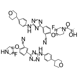 C[C@H](O)C(=O)N1CC[C@H](Oc2ccc(-c3ncnc(Nc4ccc(C5CCOCC5)cc4)n3)cc2C#N)[C@H](F)C1.N#Cc1cc(-c2ncnc(Nc3ccc(C4CCOCC4)cc3)n2)ccc1O[C@H]1CCNC[C@H]1F